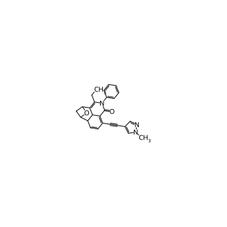 CCC1=C2C3CC(O3)C3C=CC(C#Cc4cnn(C)c4)=C(C(=O)N1c1ccccc1)C23